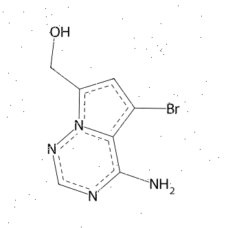 Nc1ncnn2c(CO)cc(Br)c12